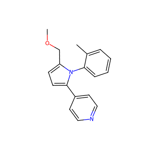 COCc1ccc(-c2ccncc2)n1-c1ccccc1C